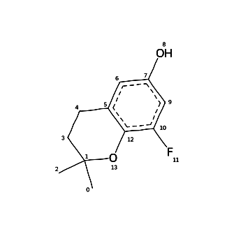 CC1(C)CCc2cc(O)cc(F)c2O1